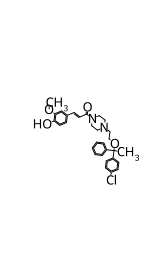 COc1cc(C=CC(=O)N2CCN(CCOC(C)(c3ccccc3)c3ccc(Cl)cc3)CC2)ccc1O